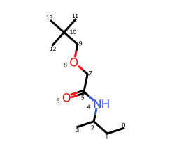 CCC(C)NC(=O)COCC(C)(C)C